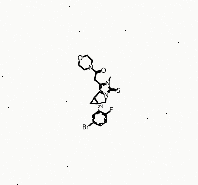 Cn1c(CC(=O)N2CCOCC2)c2n(c1=S)C[C@@]1(c3cc(Br)ccc3F)CC21